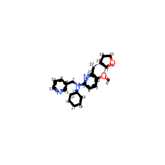 COc1ccc(N(Cc2cccnc2)C2CCCCC2)nc1C[C@@H]1CCOC1